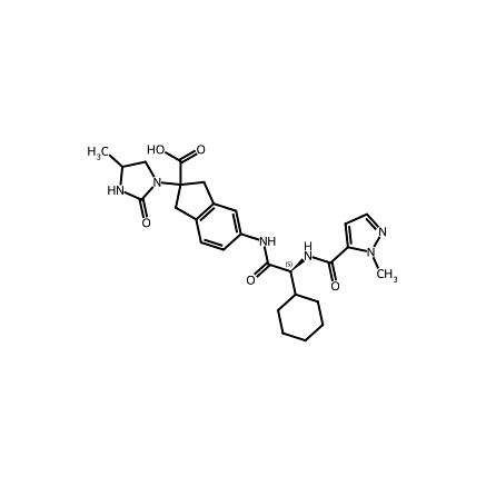 CC1CN(C2(C(=O)O)Cc3ccc(NC(=O)[C@@H](NC(=O)c4ccnn4C)C4CCCCC4)cc3C2)C(=O)N1